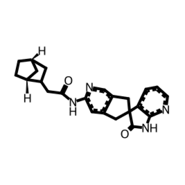 O=C(CC1C[C@H]2CC[C@@H]1C2)Nc1cc2c(cn1)CC1(C2)C(=O)Nc2ncccc21